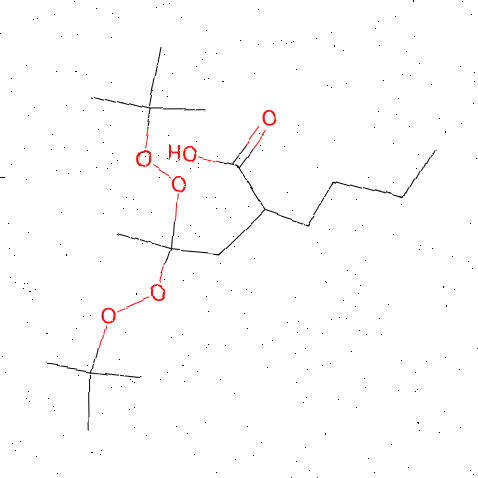 CCCCC(CC(C)(OOC(C)(C)C)OOC(C)(C)C)C(=O)O